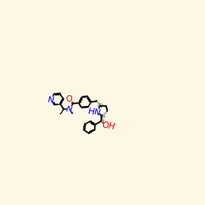 CC(c1cccnc1)N(C)C(=O)c1ccc(C[C@@H]2CC[C@H]([C@H](O)c3ccccc3)N2)cc1